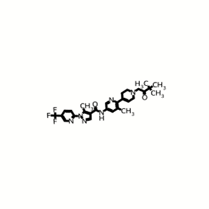 Cc1cc(NC(=O)c2cnn(-c3ccc(C(F)(F)F)cn3)c2C)cnc1C1=CCN(CC(=O)C(C)(C)C)CC1